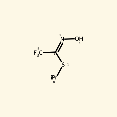 CC(C)S/C(=N\O)C(F)(F)F